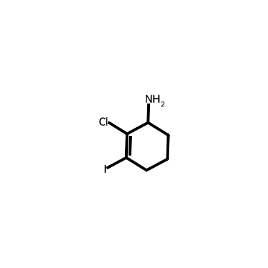 NC1CCCC(I)=C1Cl